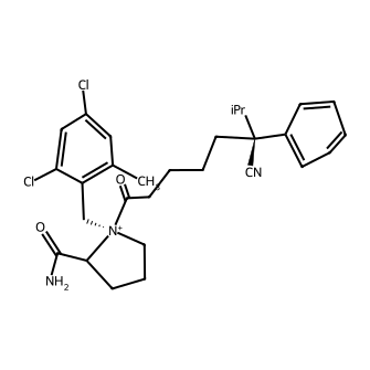 Cc1cc(Cl)cc(Cl)c1C[N@+]1(C(=O)CCCC[C@@](C#N)(c2ccccc2)C(C)C)CCCC1C(N)=O